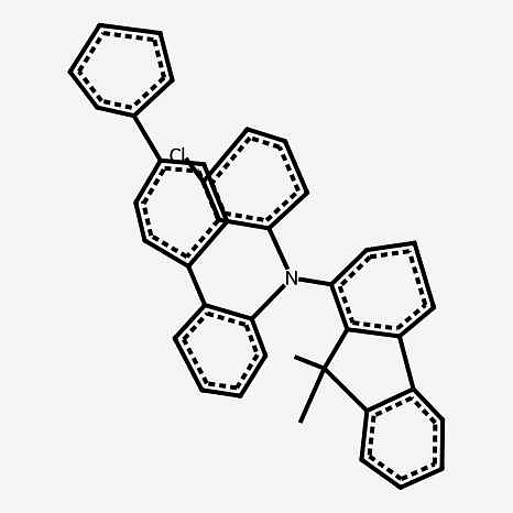 CC1(C)c2ccccc2-c2cccc(N(c3cccc(Cl)c3)c3ccccc3-c3ccc(-c4ccccc4)cc3)c21